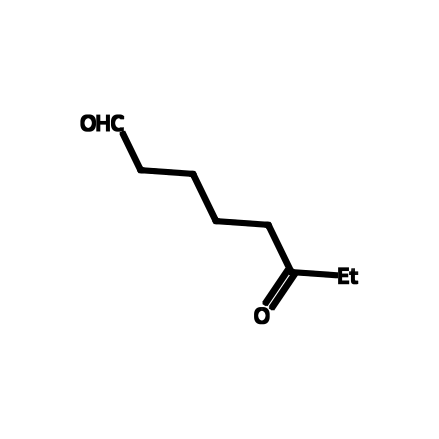 CCC(=O)CCCCC=O